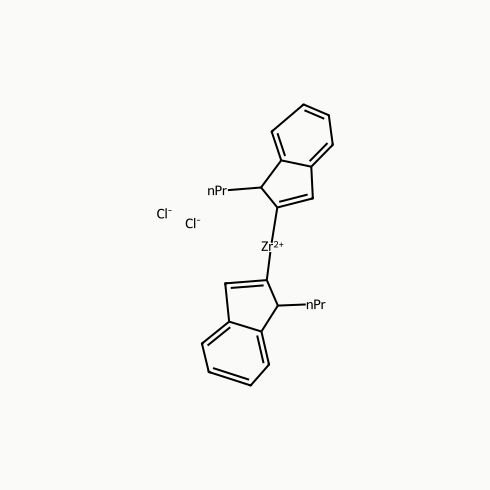 CCCC1[C]([Zr+2][C]2=Cc3ccccc3C2CCC)=Cc2ccccc21.[Cl-].[Cl-]